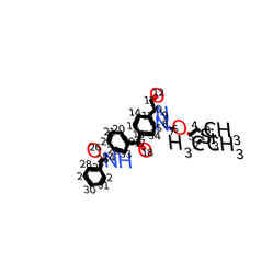 C[Si](C)(C)CCOCn1nc(C=O)c2ccc(C(=O)c3cccc(NC(=O)c4ccccc4)c3)cc21